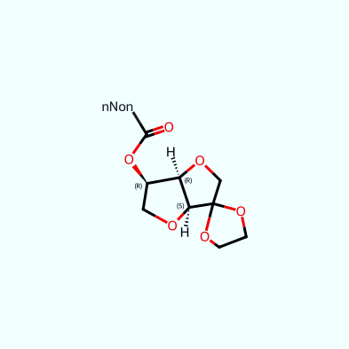 CCCCCCCCCC(=O)O[C@@H]1CO[C@H]2[C@@H]1OCC21OCCO1